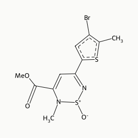 COC(=O)C1=CC(c2cc(Br)c(C)s2)=N[S+]([O-])N1C